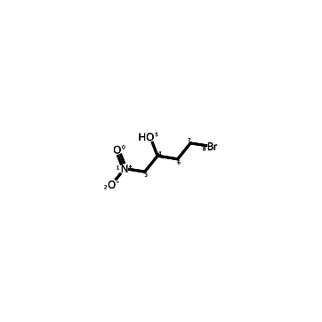 O=[N+]([O-])CC(O)CCBr